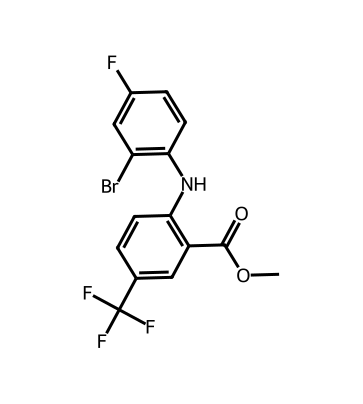 COC(=O)c1cc(C(F)(F)F)ccc1Nc1ccc(F)cc1Br